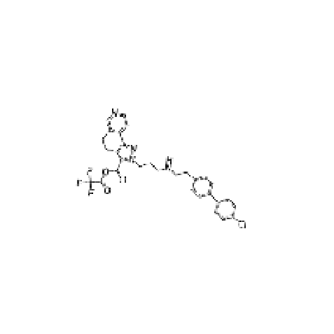 O=C(OC(=O)C(F)(F)F)c1c2c(nn1CCCNCCc1ccc(-c3ccc(Cl)cc3)cc1)-c1ccncc1CC2